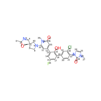 CC(=O)/N=C\[C@@]1(C)CCN(c2cc(-c3cc(F)cc(-c4ccc(-n5ccn(C)c5=O)c(Cl)c4)c3O)cc(=O)n2C)C1